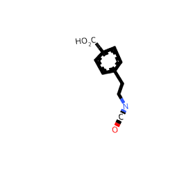 O=C=NCCc1ccc(C(=O)O)cc1